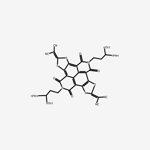 [C-]#[N+]C([N+]#[C-])=c1sc2c(s1)c1c(=O)n(CCC(CCCCCC)CCCCCCCC)c(=O)c3c4sc(=C(C#N)C#N)sc4c4c(=O)n(CCC(CCCCCC)CCCCCCCC)c(=O)c2c4c31